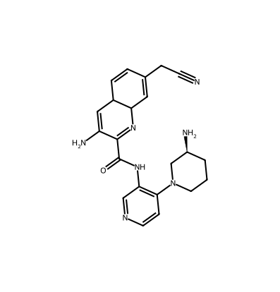 N#CCC1=CC2N=C(C(=O)Nc3cnccc3N3CCC[C@H](N)C3)C(N)=CC2C=C1